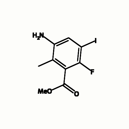 COC(=O)c1c(C)c(N)cc(I)c1F